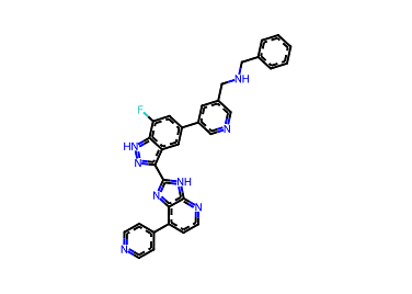 Fc1cc(-c2cncc(CNCc3ccccc3)c2)cc2c(-c3nc4c(-c5ccncc5)ccnc4[nH]3)n[nH]c12